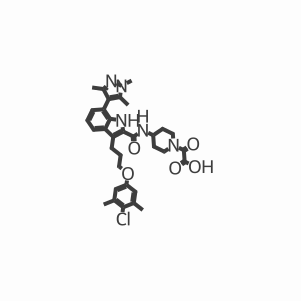 Cc1cc(OCCCc2c(C(=O)NC3CCN(C(=O)C(=O)O)CC3)[nH]c3c(-c4c(C)nn(C)c4C)cccc23)cc(C)c1Cl